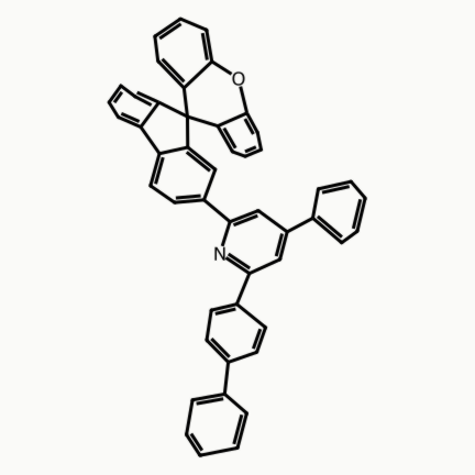 c1ccc(-c2ccc(-c3cc(-c4ccccc4)cc(-c4ccc5c(c4)C4(c6ccccc6Oc6ccccc64)c4ccccc4-5)n3)cc2)cc1